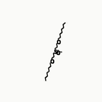 CCCCCCCCOCCC[S+]([O-])CCCOCCCCCCCC